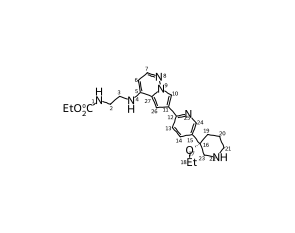 CCOC(=O)NCCNc1ccnn2cc(-c3ccc([C@@]4(OCC)CCCNC4)cn3)cc12